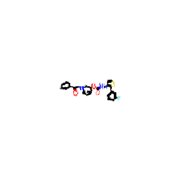 O=C(NCc1ccsc1-c1cccc(F)c1)OC1C[N+]2(CC(=O)c3ccccc3)CCC1CC2